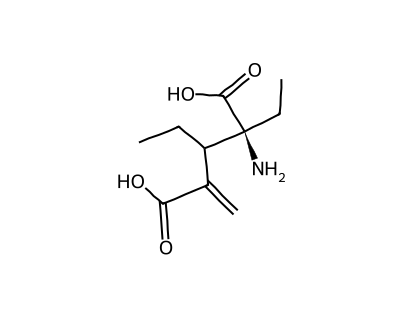 C=C(C(=O)O)C(CC)[C@@](N)(CC)C(=O)O